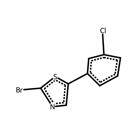 Clc1cccc(-c2cnc(Br)s2)c1